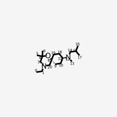 CCN1CC(C)(C)O[C@]2(CC[C@H](N(C)CC(C)C)CC2)C1